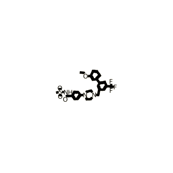 CCOc1cccc(-c2cc(CN3CCN(c4ccc(C(=O)NS(C)(=O)=O)cc4)CC3)cc(C(F)(F)F)c2)c1